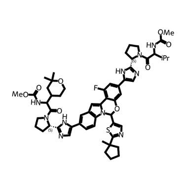 COC(=O)NC(C(=O)N1CCC[C@H]1c1ncc(-c2cc(F)c3c(c2)OC(c2cnc(C4(C)CCCC4)s2)n2c-3cc3cc(-c4cnc([C@@H]5CCCN5C(=O)C(NC(=O)OC)C5CCOC(C)(C)C5)[nH]4)ccc32)[nH]1)C(C)C